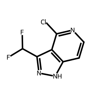 FC(F)c1n[nH]c2ccnc(Cl)c12